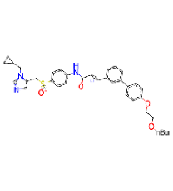 CCCCOCCOc1ccc(-c2cccc(/C=C/C(=O)Nc3ccc([S@+]([O-])Cc4cncn4CC4CC4)cc3)c2)cc1